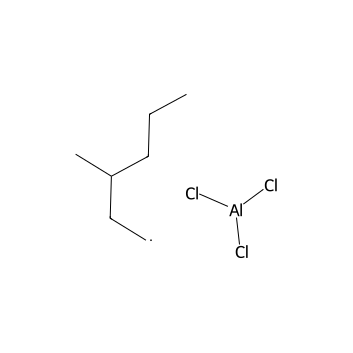 [CH2]CC(C)CCC.[Cl][Al]([Cl])[Cl]